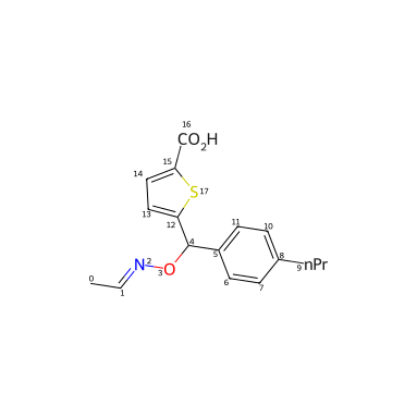 C/C=N/OC(c1ccc(CCC)cc1)c1ccc(C(=O)O)s1